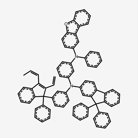 C=CC1=C(/C=C\C)c2ccccc2C1(c1ccccc1)c1cccc(N(c2cccc(N(c3ccccc3)c3ccc4oc5ccccc5c4c3)c2)c2ccc3c(c2)C(c2ccccc2)(c2ccccc2)c2ccccc2-3)c1